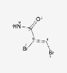 [NH]C(=O)C(Br)=CBr